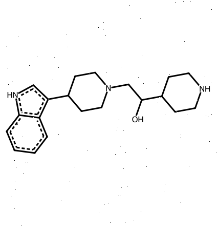 OC(CN1CCC(c2c[nH]c3ccccc23)CC1)C1CCNCC1